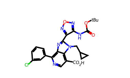 CC(C)(C)OC(=O)Nc1nonc1-c1nc2c(-c3cccc(Cl)c3)ncc(C(=O)O)c2n1CC1CC1